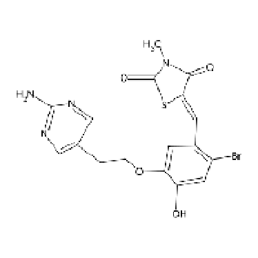 CN1C(=O)S/C(=C\c2cc(OCCc3cnc(N)nc3)c(O)cc2Br)C1=O